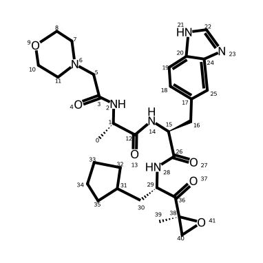 C[C@H](NC(=O)CN1CCOCC1)C(=O)N[C@@H](Cc1ccc2[nH]cnc2c1)C(=O)N[C@@H](CC1CCCC1)C(=O)[C@]1(C)CO1